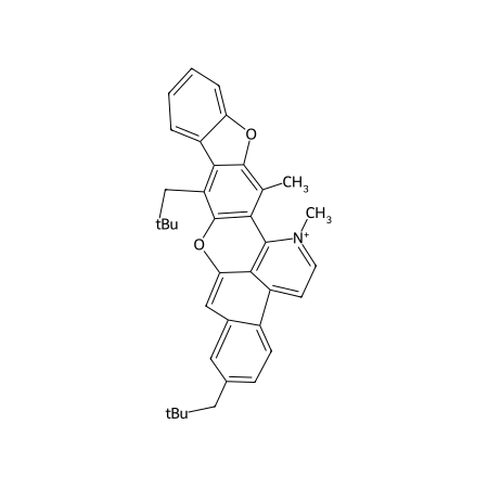 Cc1c2c(c(CC(C)(C)C)c3c1oc1ccccc13)Oc1cc3cc(CC(C)(C)C)ccc3c3cc[n+](C)c-2c13